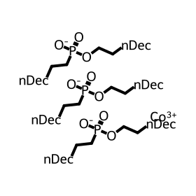 CCCCCCCCCCCCOP(=O)([O-])CCCCCCCCCCCC.CCCCCCCCCCCCOP(=O)([O-])CCCCCCCCCCCC.CCCCCCCCCCCCOP(=O)([O-])CCCCCCCCCCCC.[Co+3]